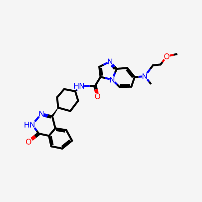 COCCN(C)c1ccn2c(C(=O)N[C@H]3CC[C@H](c4n[nH]c(=O)c5ccccc54)CC3)cnc2c1